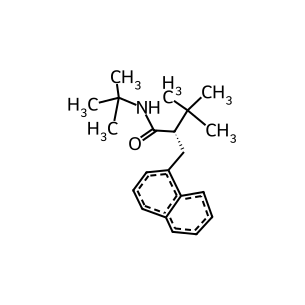 CC(C)(C)NC(=O)[C@@H](Cc1cccc2ccccc12)C(C)(C)C